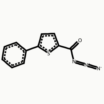 [N-]=[N+]=NC(=O)c1ccc(-c2ccccc2)s1